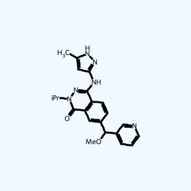 COC(c1cccnc1)c1ccc2c(Nc3cc(C)[nH]n3)nn(C(C)C)c(=O)c2c1